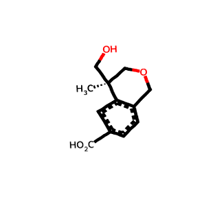 C[C@]1(CO)COCc2ccc(C(=O)O)cc21